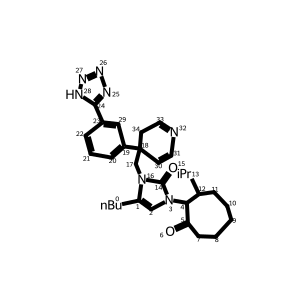 CCCCc1cn(C2C(=O)CCCCCC2C(C)C)c(=O)n1CC1(c2cccc(-c3nnn[nH]3)c2)C=CN=CC1